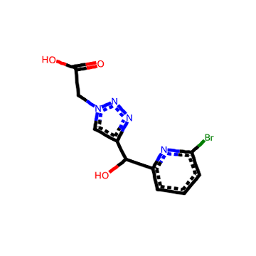 O=C(O)Cn1cc(C(O)c2cccc(Br)n2)nn1